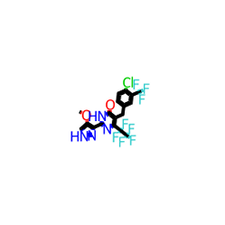 COc1c[nH]nc1-c1nc(C(F)(F)C(F)(F)F)c(Cc2ccc(Cl)c(C(F)(F)F)c2)c(=O)[nH]1